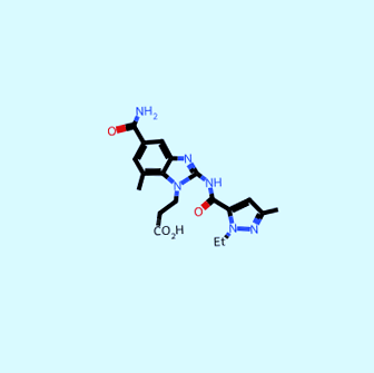 CCn1nc(C)cc1C(=O)Nc1nc2cc(C(N)=O)cc(C)c2n1CCC(=O)O